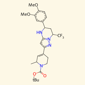 COc1ccc(C2CC(C(F)(F)F)n3nc(C4=CC(C)N(C(=O)OC(C)(C)C)CC4)cc3N2)cc1OC